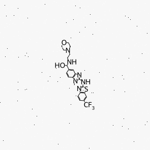 Cn1c(Nc2nc3ccc(C(F)(F)F)cc3s2)nc2cc(C(O)NCCN3CCOCC3)ccc21